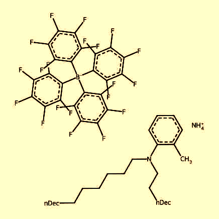 CCCCCCCCCCCCCCCCN(CCCCCCCCCCCC)c1ccccc1C.Fc1c(F)c(F)c([B-](c2c(F)c(F)c(F)c(F)c2F)(c2c(F)c(F)c(F)c(F)c2F)c2c(F)c(F)c(F)c(F)c2F)c(F)c1F.[NH4+]